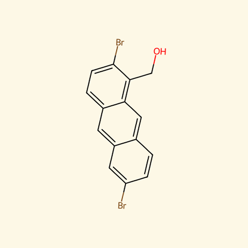 OCc1c(Br)ccc2cc3cc(Br)ccc3cc12